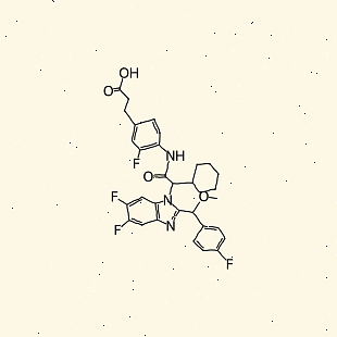 COC(c1ccc(F)cc1)c1nc2cc(F)c(F)cc2n1C(C(=O)Nc1ccc(CCC(=O)O)cc1F)C1CCCCC1